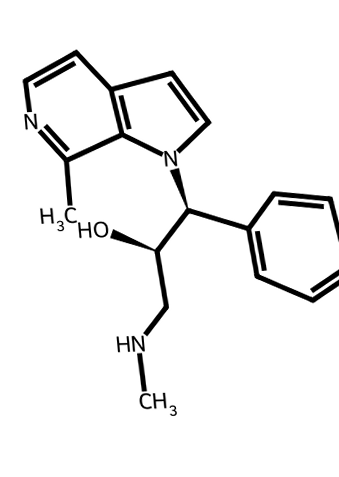 CNC[C@@H](O)[C@H](c1ccccc1)n1ccc2ccnc(C)c21